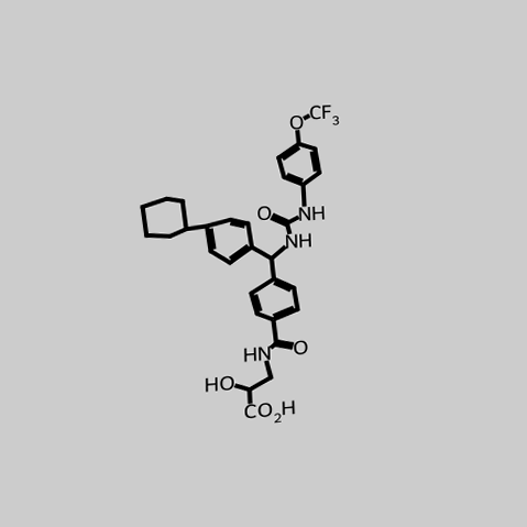 O=C(Nc1ccc(OC(F)(F)F)cc1)NC(c1ccc(C(=O)NCC(O)C(=O)O)cc1)c1ccc(C2CCCCC2)cc1